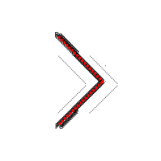 [B].[B].[B].[B].[B].[B].[B].[B].[B].[B].[B].[B].[B].[B].[B].[B].[B].[B].[B].[B].[B].[B].[B].[B].[B].[B].[B].[B].[B].[B].[B].[B].[B].[B].[B].[B].[B].[B].[B].[B].[B].[B].[B].[B].[B].[Fe].[Fe].[Fe].[Fe].[Fe].[Fe].[Fe].[Fe].[Fe].[Fe].[Fe].[Fe].[Fe].[Fe].[Fe].[Fe].[Fe].[Fe].[Fe].[Fe].[Fe].[Fe].[Fe].[Fe].[Fe].[Fe].[Fe]